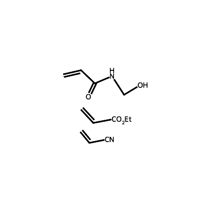 C=CC#N.C=CC(=O)NCO.C=CC(=O)OCC